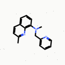 Cc1ccc2cccc(N(C)Cc3ccccn3)c2n1